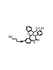 CCOC(=O)CC(c1ccccc1)N1C(=O)c2cc(C#CCCCC#N)ccc2N(C)C(=O)C1c1ccccc1